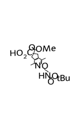 COC(=O)C1(C(=O)O)Cc2c(C)nc(OCCNC(=O)OC(C)(C)C)c(C)c2C1